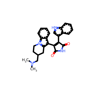 CN(C)CC1CCn2c(c(C3=C(c4c[nH]c5ccccc45)C(=O)NC3=O)c3ccccc32)C1